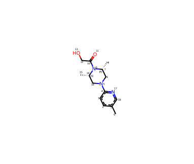 Cc1ccc(N2C[C@@H](C)N(C(=O)CO)[C@@H](C)C2)nc1